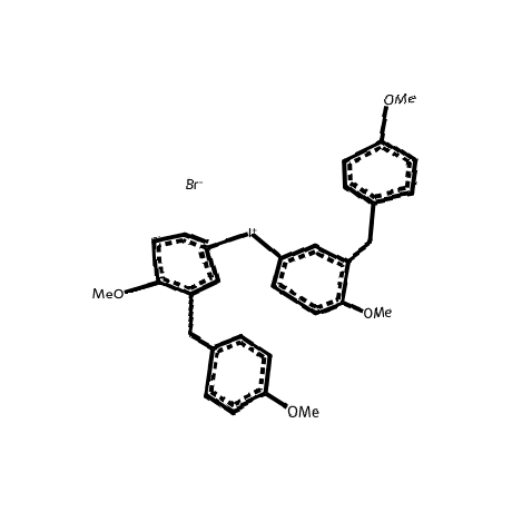 COc1ccc(Cc2cc([I+]c3ccc(OC)c(Cc4ccc(OC)cc4)c3)ccc2OC)cc1.[Br-]